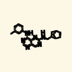 Cc1cccc(Nc2ncnc3cnc(NCC4CC5C=CC4C5)nc23)c1